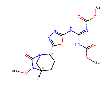 CCCCON1C(=O)N2C[C@@H]1CC[C@H]2c1nnc(N/C(=N\C(=O)OC(C)(C)C)NC(=O)OC(C)(C)C)o1